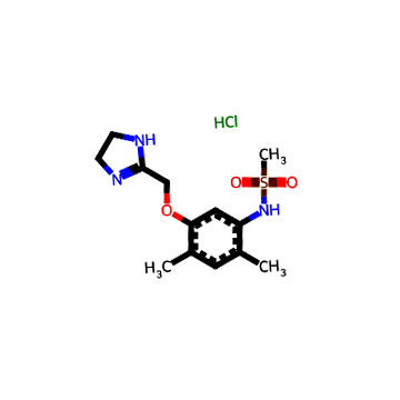 Cc1cc(C)c(OCC2=NCCN2)cc1NS(C)(=O)=O.Cl